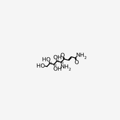 NC(=O)C=CC(=O)[C@H](N)[C@@H](O)[C@H](O)[C@H](O)CO